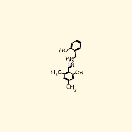 Cc1cc(C)c(/C=N/NCc2ccccc2O)c(O)c1